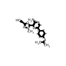 C#CC1=NN(C)C(c2nc(C3C=CC(SC(C)C)=CC3)cnc2N)O1